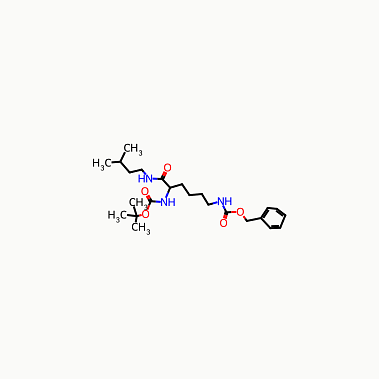 CC(C)CCNC(=O)C(CCCCNC(=O)OCc1ccccc1)NC(=O)OC(C)(C)C